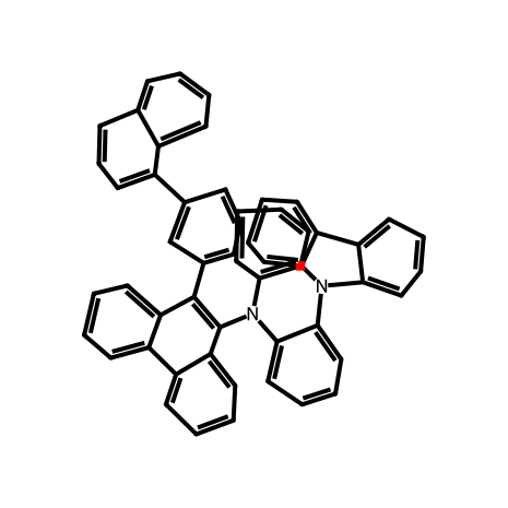 c1ccc(N(c2ccccc2-n2c3ccccc3c3ccccc32)c2c(-c3cccc(-c4cccc5ccccc45)c3)c3ccccc3c3ccccc23)cc1